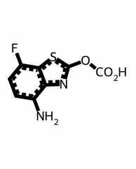 Nc1ccc(F)c2sc(OC(=O)O)nc12